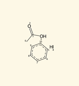 CC(=O)O.I.c1ccccc1